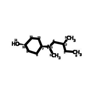 CC[C@H](C)CN(C)[C@H]1CC[C@H](O)CC1